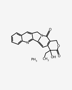 CCC1(O)C(=O)OCc2c1cc1n(c2=O)Cc2cc3ccccc3nc2-1.P